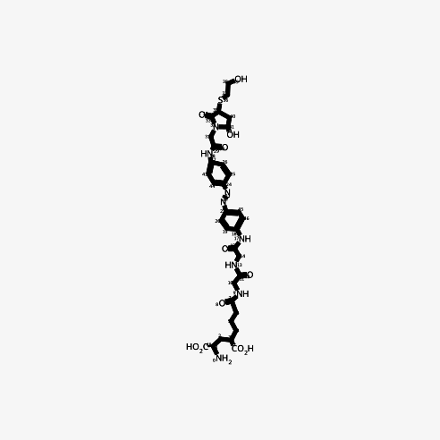 N[C@@H](CC(CCCC(=O)NCC(=O)NCC(=O)Nc1ccc(/N=N/c2ccc(NC(=O)CN3C(=O)C(SCCO)CC3O)cc2)cc1)C(=O)O)C(=O)O